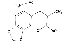 CC(N)=O.CCCCCCCC[S+]([O-])C(C)Cc1ccc2c(c1)OCO2